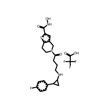 O=C(NO)c1cc2c(s1)CCN(C(=O)CCCNC1CC1c1ccc(F)cc1)C2.O=C(O)C(F)(F)F